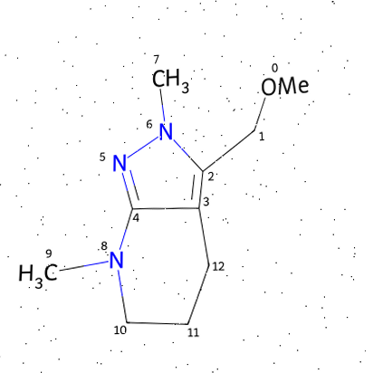 COCc1c2c(nn1C)N(C)CCC2